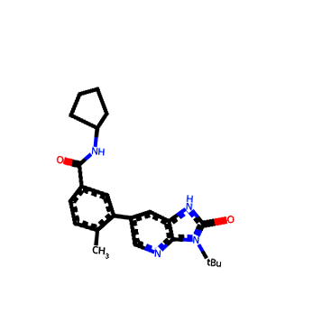 Cc1ccc(C(=O)NC2CCCC2)cc1-c1cnc2c(c1)[nH]c(=O)n2C(C)(C)C